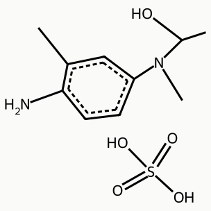 Cc1cc(N(C)C(C)O)ccc1N.O=S(=O)(O)O